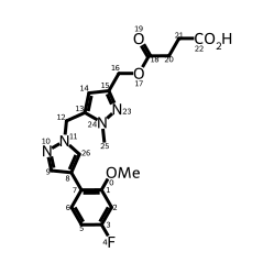 COc1cc(F)ccc1-c1cnn(Cc2cc(COC(=O)CCC(=O)O)nn2C)c1